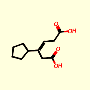 O=C(O)CC=C(CC(=O)O)C1CCCC1